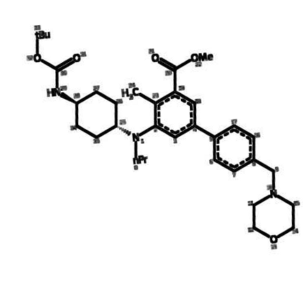 CCCN(c1cc(-c2ccc(CN3CCOCC3)cc2)cc(C(=O)OC)c1C)[C@H]1CC[C@H](NC(=O)OC(C)(C)C)CC1